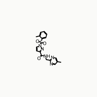 Cc1cnc(CNC(=O)c2ccn(S(=O)(=O)c3ccccc3C)n2)nc1